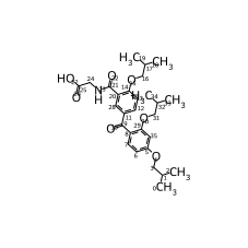 CC(C)COc1ccc(C(=O)c2ccc(OCC(C)C)c(C(=O)NCC(=O)O)c2)c(OCC(C)C)c1